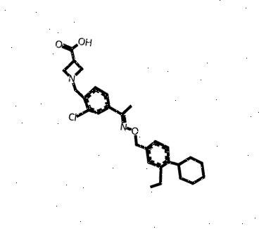 CCc1cc(CO/N=C(\C)c2ccc(CN3CC(C(=O)O)C3)c(Cl)c2)ccc1C1CCCCC1